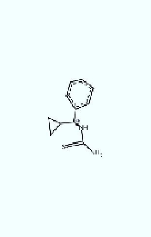 NC(=S)N[C@H](c1ccccc1)C1CC1